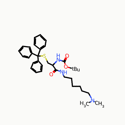 CN(C)CCCCCCNC(=O)C(CSC(c1ccccc1)(c1ccccc1)c1ccccc1)NC(=O)OC(C)(C)C